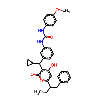 CCC(Cc1ccccc1)c1cc(O)c(C(c2cccc(NC(=O)Nc3ccc(OC)cc3)c2)C2CC2)c(=O)o1